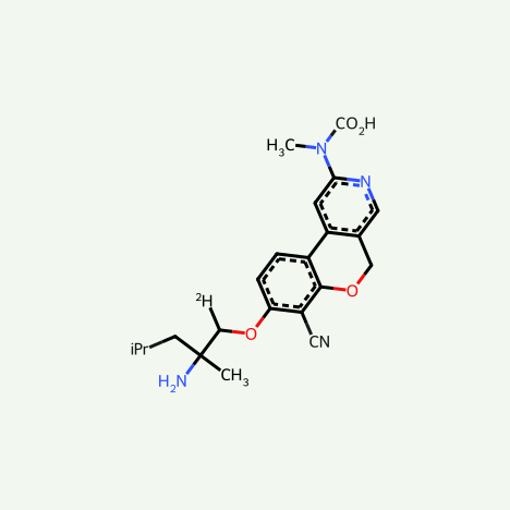 [2H]C(Oc1ccc2c(c1C#N)OCc1cnc(N(C)C(=O)O)cc1-2)C(C)(N)CC(C)C